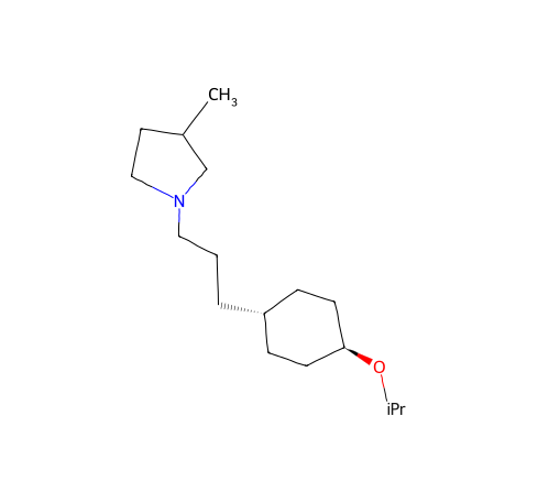 CC1CCN(CCC[C@H]2CC[C@H](OC(C)C)CC2)C1